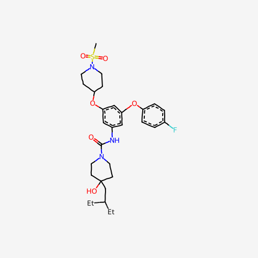 CCC(CC)CC1(O)CCN(C(=O)Nc2cc(Oc3ccc(F)cc3)cc(OC3CCN(S(C)(=O)=O)CC3)c2)CC1